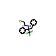 O=C(CCl)NC(Cc1ccccc1)(c1ccccc1)C(F)(F)F